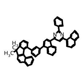 CC1(C)c2cccc(-c3cccc(-c4ccc(-c5cc(-c6cccc7ccccc67)nc(-c6ccccc6)n5)c5ccccc45)c3)c2-c2c1ccc1ccccc21